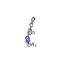 Cc1cn2cc(-c3cc(=O)n4cc(C5CCC(N6CCCC6)CC5)ccc4n3)ccc2n1